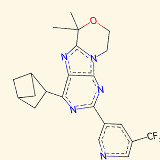 CC1(C)OCCn2c1nc1c(C3CC4CC3C4)nc(-c3cncc(C(F)(F)F)c3)nc12